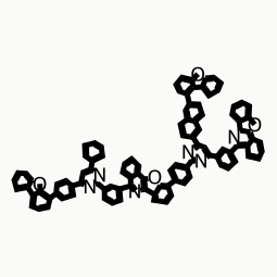 c1ccc(-c2cc(-c3ccc(-c4cccc5c4oc4ccccc45)cc3)nc(-c3cccc(-c4nc5c6cccc(-c7ccc(-c8nc(-c9cccc(-c%10nc%11c%12ccccc%12oc%11c%11ccccc%10%11)c9)cc(-c9ccc%10cc(-c%11cccc%12oc%13ccccc%13c%11%12)ccc%10c9)n8)cc7)c6oc5c5ccccc45)c3)n2)cc1